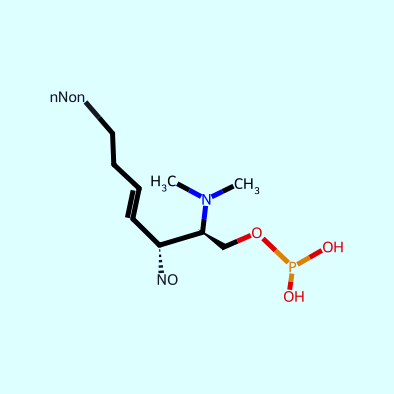 CCCCCCCCCCC/C=C/[C@@H](N=O)[C@H](COP(O)O)N(C)C